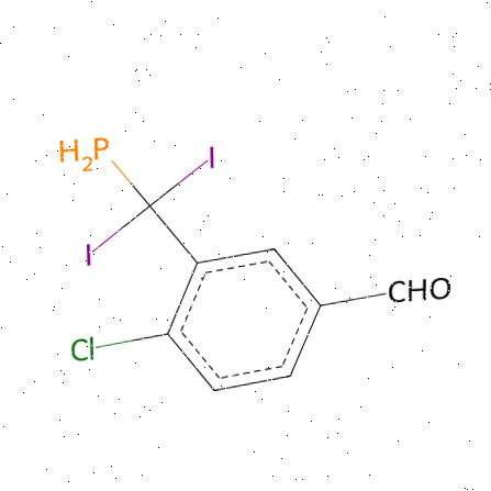 O=Cc1ccc(Cl)c(C(P)(I)I)c1